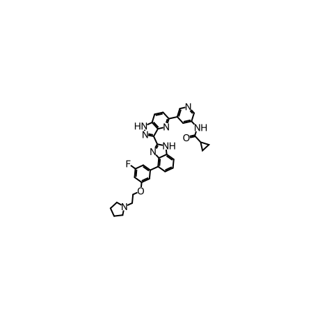 O=C(Nc1cncc(-c2ccc3[nH]nc(-c4nc5c(-c6cc(F)cc(OCCN7CCCC7)c6)cccc5[nH]4)c3n2)c1)C1CC1